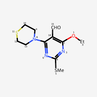 CCOc1nc(SC)nc(N2CCSCC2)c1C=O